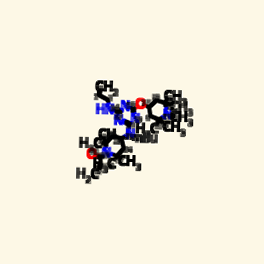 C=CCNc1nc(OC2CC(C)(C)N(C)C(C)(C)C2)nc(N(CCCC)C2CC(C)(C)N(C(=O)C=C)C(C)(C)C2)n1